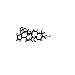 CC1(C)C2CC[C@]3(C)C(CCC4C5CCC[C@]5(CO)CC[C@]43C)[C@@]2(C)CC[C@@H]1O